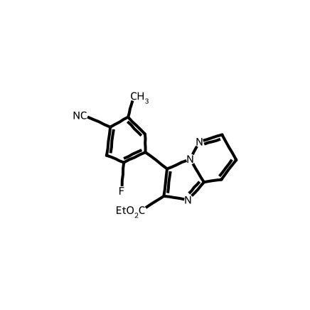 CCOC(=O)c1nc2cccnn2c1-c1cc(C)c(C#N)cc1F